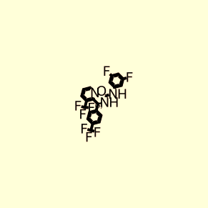 O=C(Nc1cc(F)cc(F)c1)N[C@@H](c1ccc(C(F)(F)F)cc1)c1ncccc1C(F)(F)F